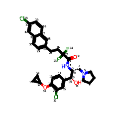 O=C(N[C@H](CN1CCCC1)[C@H](O)c1ccc(OC2CC2)c(Cl)c1)C(F)(F)CCc1ccc2cc(Cl)ccc2c1